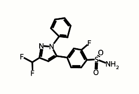 NS(=O)(=O)c1ccc(-c2cc(C(F)F)nn2-c2ccccc2)cc1F